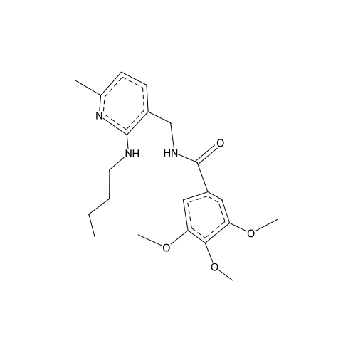 CCCCNc1nc(C)ccc1CNC(=O)c1cc(OC)c(OC)c(OC)c1